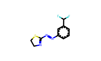 FC(F)c1cccc(N=NC2=NCCS2)c1